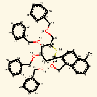 CCc1cccc2c3c(ccc12)[C@]1(OC3)S[C@H](COCc2ccccc2)[C@@H](OCc2ccccc2)[C@H](OCc2ccccc2)[C@H]1OCc1ccccc1